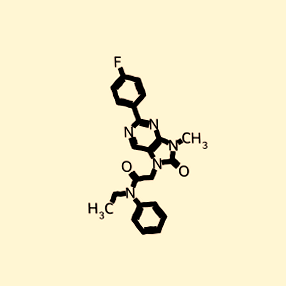 CCN(C(=O)Cn1c(=O)n(C)c2nc(-c3ccc(F)cc3)ncc21)c1ccccc1